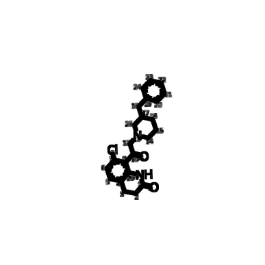 O=C1CCc2ccc(Cl)c(C(=O)CN3CCCC(Cc4ccccc4)C3)c2N1